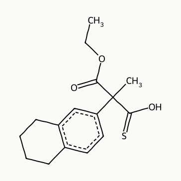 CCOC(=O)C(C)(C(O)=S)c1ccc2c(c1)CCCC2